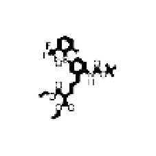 CCOC(=O)C(CCCc1cc([S+]([O-])c2c(C)cccc2C(F)(F)F)ccc1NC(=O)OC(C)(C)C)C(=O)OCC